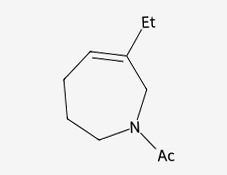 CCC1=CCCCN(C(C)=O)C1